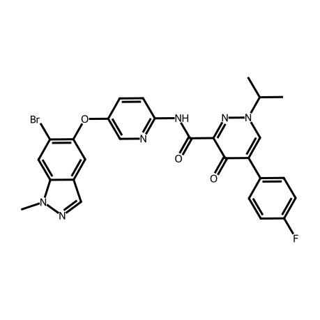 CC(C)n1cc(-c2ccc(F)cc2)c(=O)c(C(=O)Nc2ccc(Oc3cc4cnn(C)c4cc3Br)cn2)n1